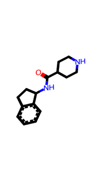 O=C(NC1CCc2ccccc21)C1CCNCC1